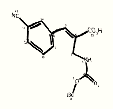 CC(C)(C)OC(=O)NCC(=Cc1cccc(C#N)c1)C(=O)O